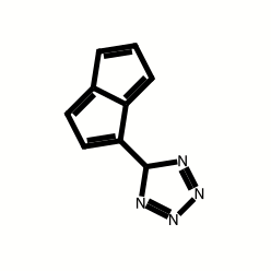 C1=CC2=CC=C(C3N=NN=N3)C2=C1